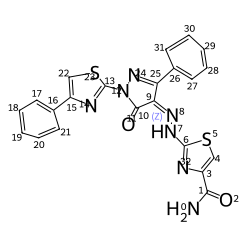 NC(=O)c1csc(N/N=C2\C(=O)N(c3nc(-c4ccccc4)cs3)N=C2c2ccccc2)n1